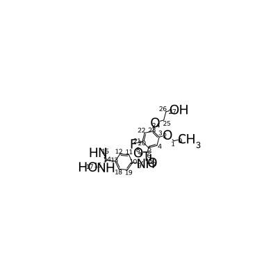 CCOc1c[c]([Ti](=[O])(=[O])[NH]c2ccc(C(=N)NO)cc2)c(F)cc1OCCO